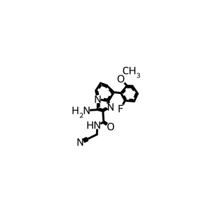 COc1cccc(F)c1-c1cccn2c(N)c(C(=O)NCC#N)nc12